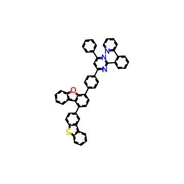 c1ccc(-c2cc(-c3ccc(-c4ccc(-c5ccc6sc7ccccc7c6c5)c5c4oc4ccccc45)cc3)nc(-c3ccccc3-c3ccccn3)n2)cc1